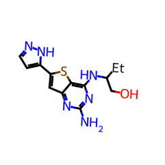 CCC(CO)Nc1nc(N)nc2cc(-c3ccn[nH]3)sc12